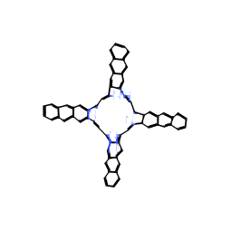 C1=c2cc3ccccc3cc2=CC2c3cc4[nH]c(cc5nc(cc6[nH]c(cc(n3)C12)c1cc2cc3ccccc3cc2cc61)-c1cc2cc3ccccc3cc2cc1-5)c1cc2cc3ccccc3cc2cc41